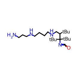 CC(C)(C)C(CNCCCCNCCCN)C(N=C=O)(C(C)(C)C)C(C)(C)C